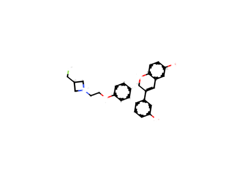 Oc1cccc(C2=Cc3cc(O)ccc3O[C@H]2c2ccc(OCCN3CC(CF)C3)cc2)c1